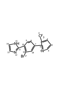 FC(F)(F)c1cccnc1-c1ccc(-c2ncc[nH]2)c(Br)c1